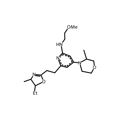 CCC1OC(CCc2cc(N3CCOCC3C)cc(NCCOC)n2)=NC1C